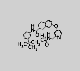 CC(=O)NCc1cc(Oc2ccc3c(c2)CC(C(=O)Nc2cccc(C(C)(C)C)c2)CC3)ccn1